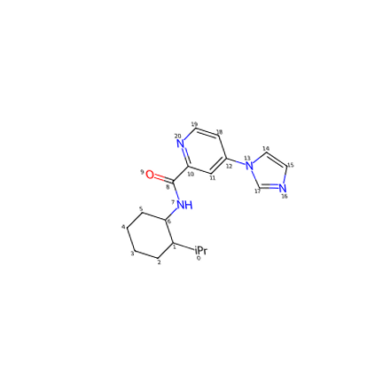 CC(C)C1CCCCC1NC(=O)c1cc(-n2ccnc2)ccn1